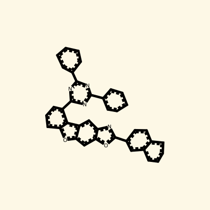 c1ccc(-c2nc(-c3ccccc3)nc(-c3cccc4oc5cc6oc(-c7ccc8ccccc8c7)nc6cc5c34)n2)cc1